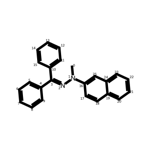 CN(N=C(c1ccccc1)c1ccccc1)c1ccc2ccccc2c1